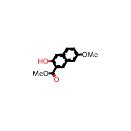 COC(=O)c1cc2cc(OC)ccc2cc1O